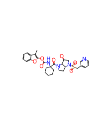 Cc1c(OC(=O)NC2(C(=O)N3CCC4C3C(=O)CN4S(=O)(=O)Cc3cccnc3)CCCCC2)oc2ccccc12